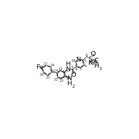 CS(=N)(=O)Cc1ccc(C(=O)Nc2cc(-c3ccc(F)cc3)ccc2N)cn1